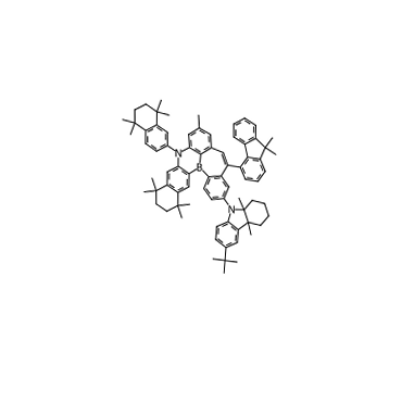 Cc1cc2c3c(c1)N(c1ccc4c(c1)C(C)(C)CCC4(C)C)c1cc4c(cc1B3c1ccc(N3c5ccc(C(C)(C)C)cc5C5(C)CCCCC35C)cc1C(c1cccc3c1-c1ccccc1C3(C)C)=C2)C(C)(C)CCC4(C)C